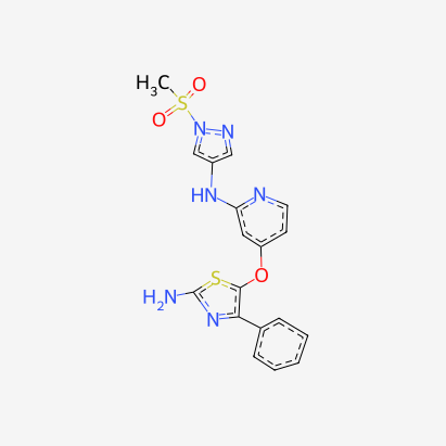 CS(=O)(=O)n1cc(Nc2cc(Oc3sc(N)nc3-c3ccccc3)ccn2)cn1